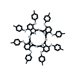 Cc1ccc(Sc2ccc(Sc3ccc(C)cc3)c3c2-c2nc-3nc3[nH]c(nc4nc(nc5[nH]c(n2)c2c(Sc6ccc(C)cc6)ccc(Sc6ccc(C)cc6)c52)-c2c(Sc5ccc(C)cc5)ccc(Sc5ccc(C)cc5)c2-4)c2c(Sc4ccc(C)cc4)ccc(Sc4ccc(C)cc4)c32)cc1